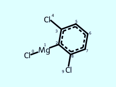 [Cl][Mg][c]1c(Cl)cccc1Cl